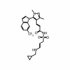 Cc1nn(C)c(-n2ccc3ccc(C(F)(F)F)cc32)c1/C=C/C(=O)NS(=O)(=O)CC=CNCC1CC1